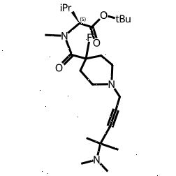 CC(C)[C@@H](C(=O)OC(C)(C)C)N(C)C(=O)C1(F)CCN(CC#CC(C)(C)N(C)C)CC1